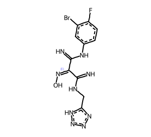 N=C(NCc1nnn[nH]1)/C(=N\O)C(=N)Nc1ccc(F)c(Br)c1